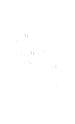 COc1cc(-c2cc3[nH]c(=O)n(C4CC(=O)NCC(C)(C)C4)c(=O)c3s2)c(Cl)cc1F